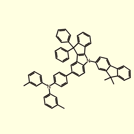 Cc1cccc(N(c2ccc(-c3ccc4c(c3)c3c(n4-c4ccc5c(c4)C(C)(C)c4ccccc4-5)-c4ccccc4C3(c3ccccc3)c3ccccc3)cc2)c2cccc(C)c2)c1